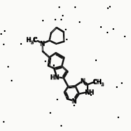 Cc1nc2c(-c3cc4ccc(CN(C)C5CCCCC5)cc4[nH]3)ccnc2[nH]1